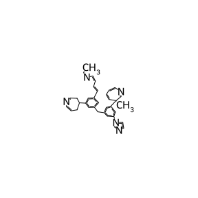 C/C=N\C=C/C=Cc1cc(Cc2cc(-n3ccnc3)cc(C3(C)C=CC=CN=C3)c2)cc(C2CC=CN=CC2)c1